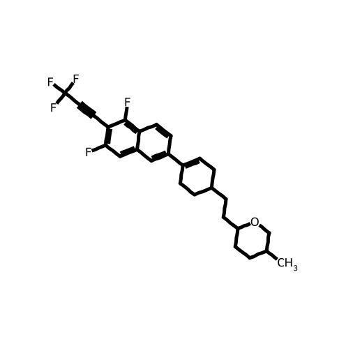 CC1CCC(CCC2CC=C(c3ccc4c(F)c(C#CC(F)(F)F)c(F)cc4c3)CC2)OC1